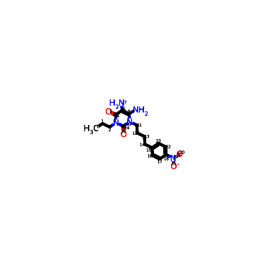 CCCn1c(=O)c(N)c(N)n(CCCCc2ccc([N+](=O)[O-])cc2)c1=O